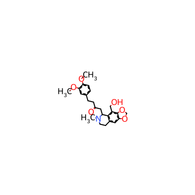 COc1ccc(CCC(=O)CC2c3c(cc4c(c3CO)OCO4)CCN2C)cc1OC